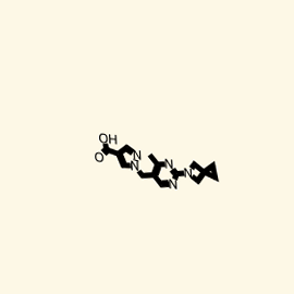 Cc1nc(N2CC3(CC3)C2)ncc1Cn1cc(C(=O)O)cn1